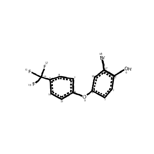 Oc1ccc(Oc2ccc(C(F)(F)F)cc2)cc1Br